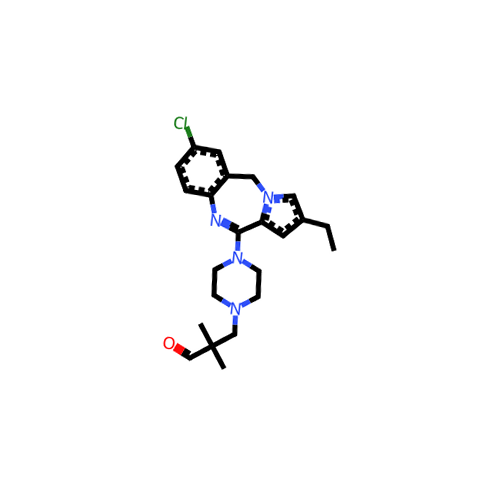 CCc1cc2n(c1)Cc1cc(Cl)ccc1N=C2N1CCN(CC(C)(C)C=O)CC1